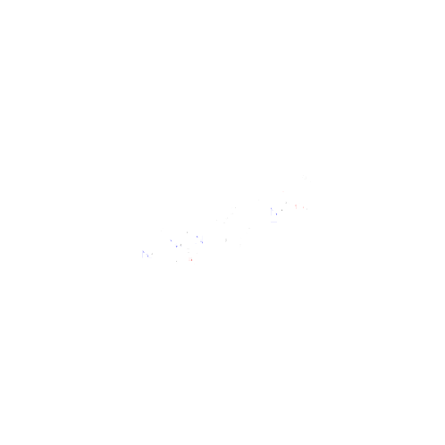 CC(C)(C)OC(=O)NCc1ccc(CNC(=O)[N+]2(C)CCNCC2)cc1